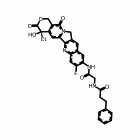 CC[C@@]1(O)C(=O)OCc2c1cc1n(c2=O)Cc2cc3cc(NC(=O)CNC(=O)CCc4ccccc4)c(F)cc3nc2-1